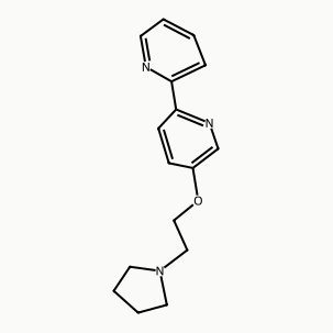 c1ccc(-c2ccc(OCCN3CCCC3)cn2)nc1